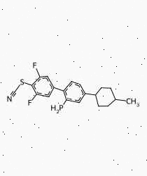 CC1CCC(c2ccc(-c3cc(F)c(SC#N)c(F)c3)c(P)c2)CC1